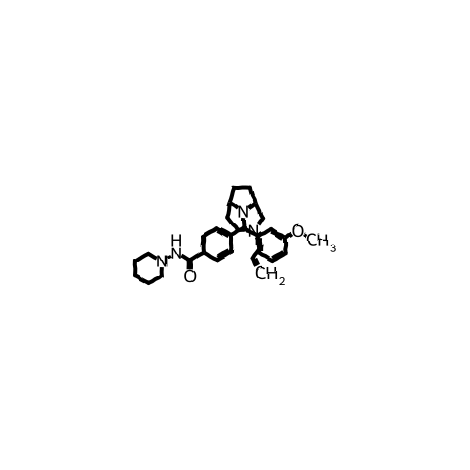 C=CCN1CCC2CCC(C1)N2C(C1=CCC(C(=O)NN2CCCCC2)C=C1)c1cccc(OC)c1